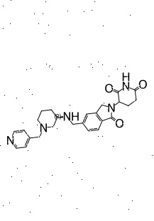 O=C1CCC(N2Cc3cc(CN[C@@H]4CCCN(Cc5ccncc5)C4)ccc3C2=O)C(=O)N1